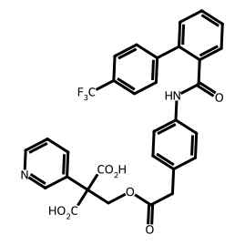 O=C(Cc1ccc(NC(=O)c2ccccc2-c2ccc(C(F)(F)F)cc2)cc1)OCC(C(=O)O)(C(=O)O)c1cccnc1